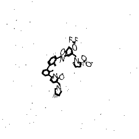 COC(=O)[C@@H]1CCCN1Cc1cc2nc(-c3cccc(-c4cccc(-c5ccc(CN6CC[C@H](C)C6)c(OC)n5)c4C)c3C)oc2cc1OC(F)F